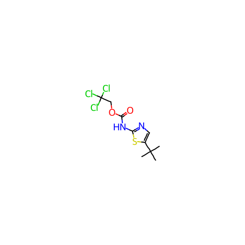 CC(C)(C)c1cnc(NC(=O)OCC(Cl)(Cl)Cl)s1